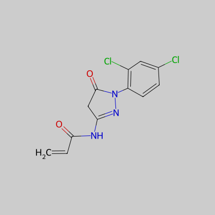 C=CC(=O)NC1=NN(c2ccc(Cl)cc2Cl)C(=O)C1